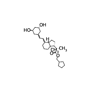 C[C@H](C(=O)OCC1CCCC1)[C@H]1CC[C@H]2/C(=C/C=C3C[C@@H](O)C[C@H](O)C3)CCC[C@]12C